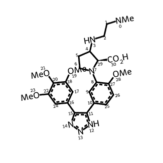 CNCCNC1CCN(c2cc(-c3[nH]nnc3-c3cc(OC)c(OC)c(OC)c3)ccc2OC)[C@@H]1C(=O)O